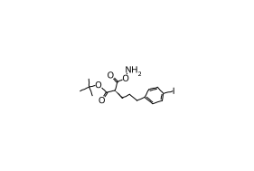 CC(C)(C)OC(=O)[C@H](CCCc1ccc(I)cc1)C(=O)ON